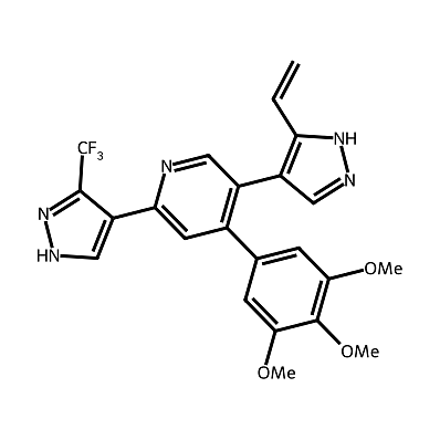 C=Cc1[nH]ncc1-c1cnc(-c2c[nH]nc2C(F)(F)F)cc1-c1cc(OC)c(OC)c(OC)c1